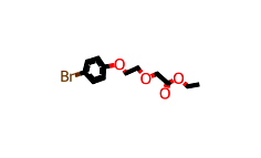 CCOC(=O)COCCOc1ccc(Br)cc1